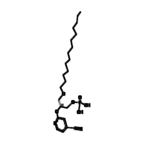 CCCCCCCCCCCCCCOC[C@H](COP(=O)(O)O)Oc1cc(C#N)ccn1